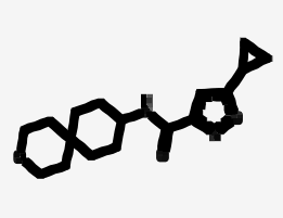 O=C(NC1CCC2(CCOCC2)CC1)c1cc(C2CC2)on1